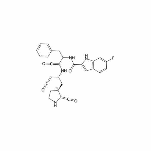 O=C=CC(C[C@@H]1CCNC1=C=O)NC(=C=O)C(Cc1ccccc1)NC(=O)c1cc2ccc(F)cc2[nH]1